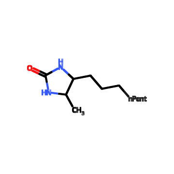 CCCCCCCCC1NC(=O)NC1C